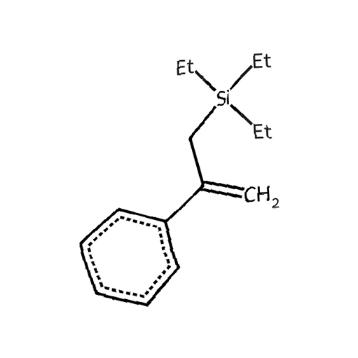 C=C(C[Si](CC)(CC)CC)c1ccccc1